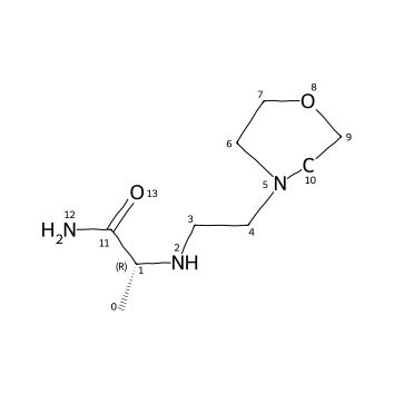 C[C@@H](NCCN1CCOCC1)C(N)=O